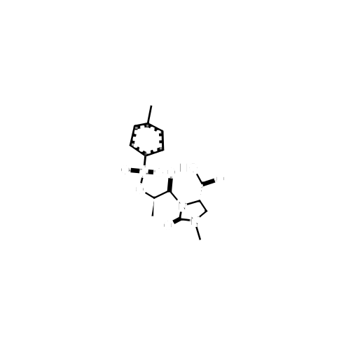 Cc1ccc(S(=O)(=O)O[C@H](C)C(=O)N2C(=O)N(C)C[C@H]2C(=O)O)cc1